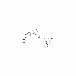 NC1NC=Cn2c(C3CC(N4CCN(C(c5ccc(F)cc5)c5ccc(F)cc5)CC4)C3)nc(C3=CC=C4C=CC(c5ccccc5)=NC4C3)c21